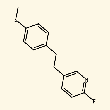 CSc1ccc(CCc2ccc(F)nc2)cc1